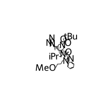 COCCCCn1c(C(=O)N(CC(C)C)[C@H]2C[C@@H](Cn3cncn3)CN(C(=O)OC(C)(C)C)C2)nc2ccccc21